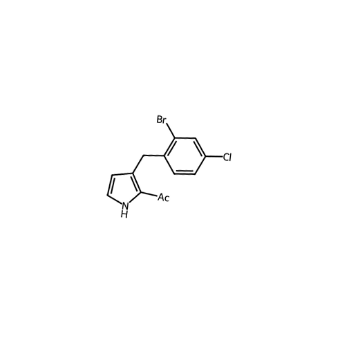 CC(=O)c1[nH]ccc1Cc1ccc(Cl)cc1Br